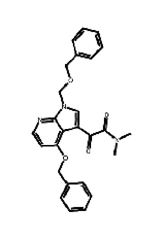 CN(C)C(=O)C(=O)c1cn(COCc2ccccc2)c2nccc(OCc3ccccc3)c12